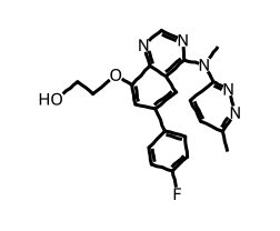 Cc1ccc(N(C)c2ncnc3c(OCCO)cc(-c4ccc(F)cc4)cc23)nn1